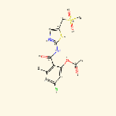 CC(=O)Oc1cc(Cl)cc(C)c1C(=O)Nc1ncc(CS(C)(=O)=O)s1